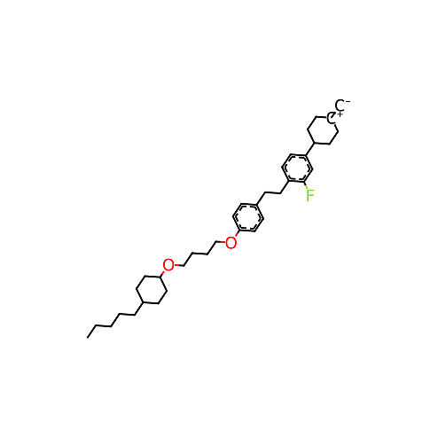 [CH2-][C+]1CCC(c2ccc(CCc3ccc(OCCCCOC4CCC(CCCCC)CC4)cc3)c(F)c2)CC1